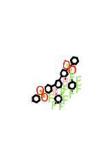 O=S(=O)(c1ccccc1)c1ccc2c(c1)B(c1c(F)c(F)c(F)c(F)c1F)c1cc3c(cc1-2)-c1ccc(S(=O)(=O)c2ccccc2)cc1B3c1c(F)c(F)c(F)c(F)c1F